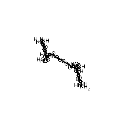 N=C(N)Nc1ccc(C(=O)Oc2ccc(CNS(=O)(=O)N(Cc3cccc(C(=O)NCCOCCOCCOCCOCCNC(=O)c4cccc(CN([C@@H](CC(=O)O)C(=O)O)S(=O)(=O)NCc5ccc(OC(=O)c6ccc(NC(=N)N)cc6)cc5)c4)c3)[C@@H](CC(=O)O)C(=O)O)cc2)cc1